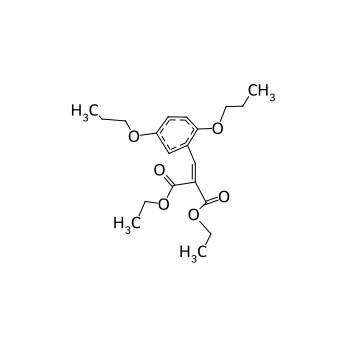 CCCOc1ccc(OCCC)c(C=C(C(=O)OCC)C(=O)OCC)c1